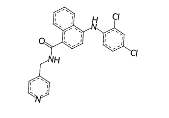 O=C(NCc1ccncc1)c1ccc(Nc2ccc(Cl)cc2Cl)c2ccccc12